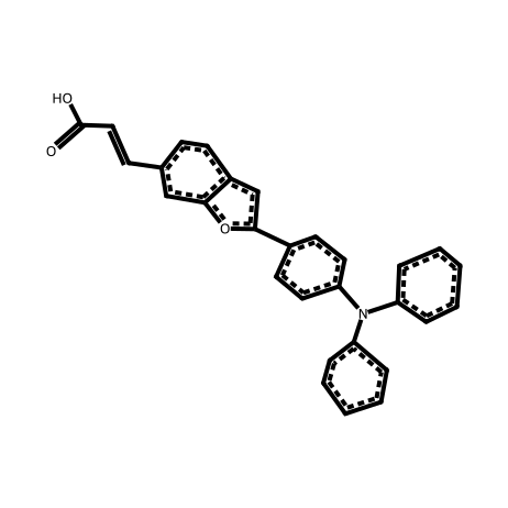 O=C(O)C=Cc1ccc2cc(-c3ccc(N(c4ccccc4)c4ccccc4)cc3)oc2c1